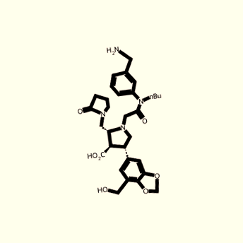 CCCCN(C(=O)CN1C[C@H](c2cc(CO)c3c(c2)OCO3)[C@@H](C(=O)O)[C@@H]1CN1CCCC1=O)c1cccc(CN)c1